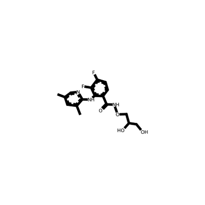 Cc1cnc(Nc2c(C(=O)NOCC(O)CO)ccc(F)c2F)c(C)c1